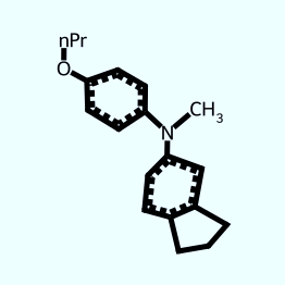 CCCOc1ccc(N(C)c2ccc3c(c2)CCC3)cc1